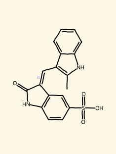 Cc1[nH]c2ccccc2c1/C=C1/C(=O)Nc2ccc(S(=O)(=O)O)cc21